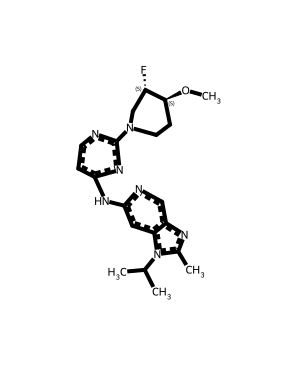 CO[C@H]1CCN(c2nccc(Nc3cc4c(cn3)nc(C)n4C(C)C)n2)C[C@@H]1F